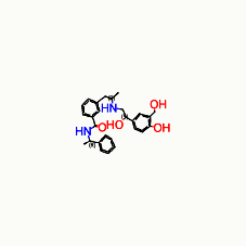 C[C@H](Cc1cccc(C(=O)N[C@H](C)c2ccccc2)c1)NC[C@@H](O)c1ccc(O)c(CO)c1